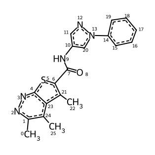 Cc1nnc2sc(C(=O)Nc3cnn(-c4ccccc4)c3)c(C)c2c1C